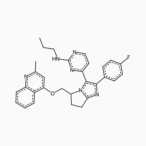 CCCNc1nccc(-c2c(-c3ccc(F)cc3)nc3n2C(COc2cc(C)nc4ccccc24)CC3)n1